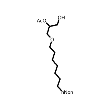 CCCCCCCCCCCCCCCCOCC(CO)OC(C)=O